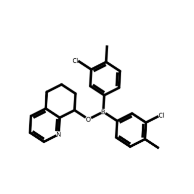 Cc1ccc(B(OC2CCCc3cccnc32)c2ccc(C)c(Cl)c2)cc1Cl